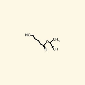 C#CC(C)OC(=O)CCCCC#N